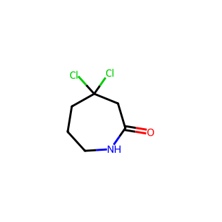 O=C1CC(Cl)(Cl)CCCN1